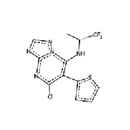 C[C@@H](Nc1c(-c2cccs2)c(Cl)nc2ncnn12)C(F)(F)F